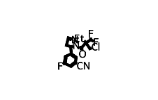 CCC(CCl)(C(=O)N1N=CCC1c1cc(F)cc(C#N)c1)C(F)F